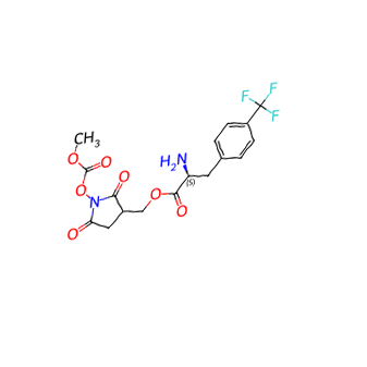 COC(=O)ON1C(=O)CC(COC(=O)[C@@H](N)Cc2ccc(C(F)(F)F)cc2)C1=O